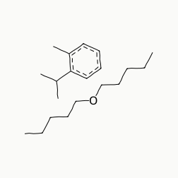 CCCCCOCCCCC.Cc1ccccc1C(C)C